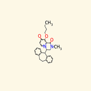 CCCCOc1c2n(ccc1=O)C(C1c3ccccc3CCc3ccccc31)CN(C)C2=O